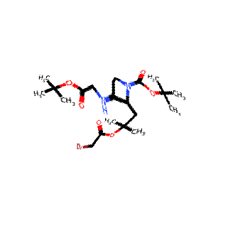 CC(C)(C)OC(=O)CNC1CN(C(=O)OC(C)(C)C)C1CC(C)(C)OC(=O)CBr